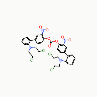 O=C(Oc1ccc(-c2ccccc2N(CCCl)CCCl)cc1[N+](=O)[O-])Oc1ccc(-c2ccccc2N(CCCl)CCCl)cc1[N+](=O)[O-]